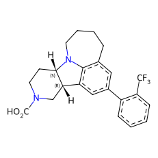 O=C(O)N1CC[C@H]2[C@@H](C1)c1cc(-c3ccccc3C(F)(F)F)cc3c1N2CCCC3